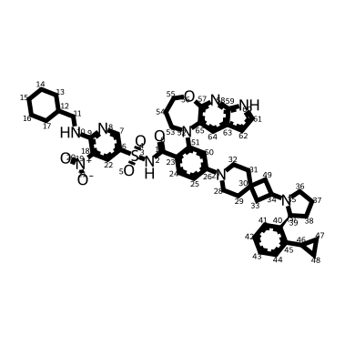 O=C(NS(=O)(=O)c1cnc(NCC2CCCCC2)c([N+](=O)[O-])c1)c1ccc(N2CCC3(CC2)CC(N2CCC[C@H]2c2ccccc2C2CC2)C3)cc1N1CCCOc2nc3[nH]ccc3cc21